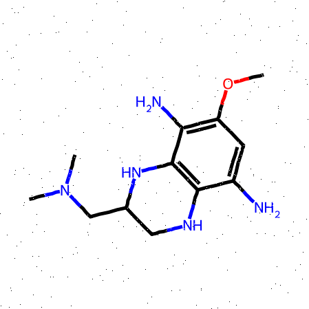 COc1cc(N)c2c(c1N)NC(CN(C)C)CN2